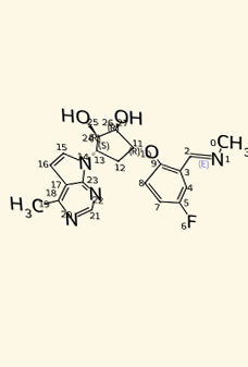 C/N=C/c1cc(F)ccc1O[C@@H]1C[C@H](n2ccc3c(C)ncnc32)[C@@H](O)[C@H]1O